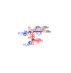 CC(C)(C)OC(=O)NC(CCCCC(N)[C@H](CSSC(C)(C)C)NC(=O)OC(C)(C)C)C(=O)O[C@H]1[C@@H](O)[C@H](n2cnc3c(N)ncnc32)O[C@H]1COP(=O)(O)O[C@H]1C[C@H](n2ccc(N)nc2=O)O[C@@H]1COP(=O)(O)O